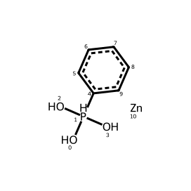 O[PH](O)(O)c1ccccc1.[Zn]